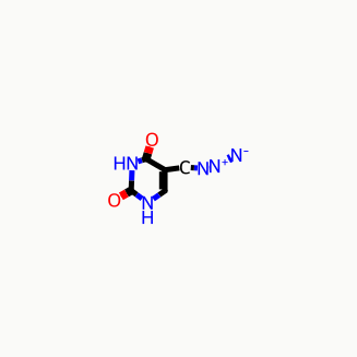 [N-]=[N+]=NCc1c[nH]c(=O)[nH]c1=O